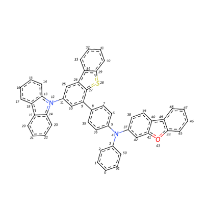 c1ccc(N(c2ccc(-c3cc(-n4c5ccccc5c5ccccc54)cc4c3sc3ccccc34)cc2)c2ccc3c(c2)oc2ccccc23)cc1